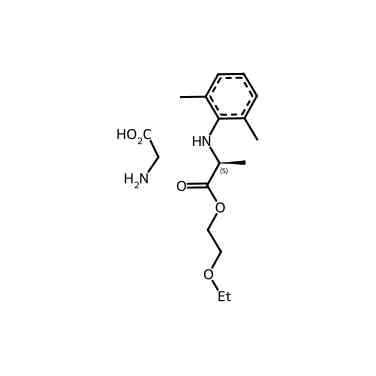 CCOCCOC(=O)[C@H](C)Nc1c(C)cccc1C.NCC(=O)O